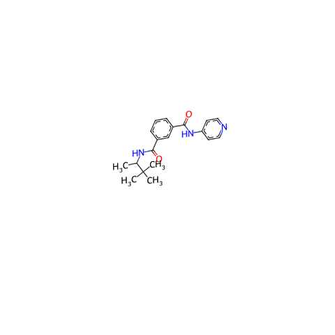 CC(NC(=O)c1cccc(C(=O)Nc2ccncc2)c1)C(C)(C)C